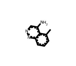 Cc1cccc2nncc(N)c12